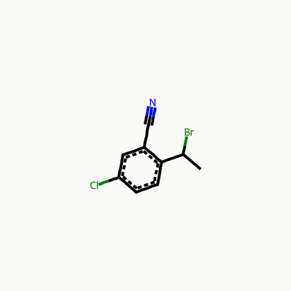 CC(Br)c1ccc(Cl)cc1C#N